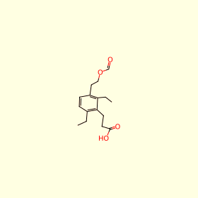 CCc1ccc(CCOC=O)c(CC)c1CCC(=O)O